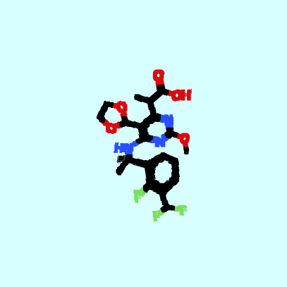 COc1nc(N[C@H](C)c2cccc(C(F)F)c2F)c(C2OCCO2)c(C(C)C(=O)O)n1